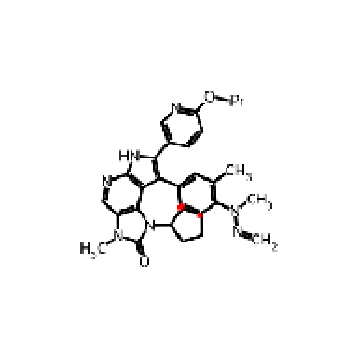 C=NN(C)c1ccc(-c2c(-c3ccc(OC(C)C)nc3)[nH]c3ncc4c(c23)n(C2CCCC2)c(=O)n4C)cc1C